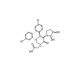 C[C@]1(CC(=O)O)C[C@H](c2cccc(Cl)c2)[C@@H](c2ccc(Cl)cc2)N([C@H]2CC[C@@H](O)[C@H]2O)C1=O